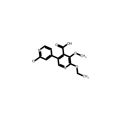 CCOc1ncc(-c2ccnc(Cl)c2)c(C(=O)O)c1OC